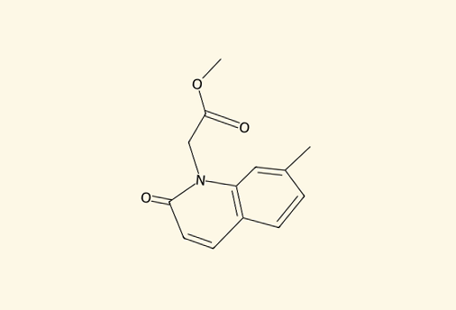 COC(=O)Cn1c(=O)ccc2ccc(C)cc21